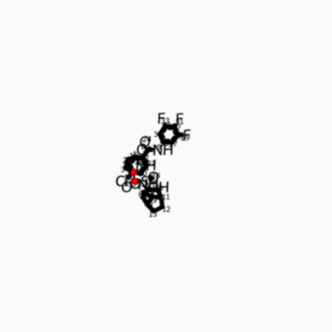 O=C1CC[C@H](C(=O)NC[C@]2(O)C3CCC2C[C@@H](S(=O)(=O)c2cc(C(=O)Nc4cc(F)c(F)c(F)c4)ccc2Cl)C3)N1